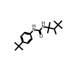 CC(C(C)(C)C)C(C)(C)NC(=O)Nc1ccc(C(C)(C)C)cc1